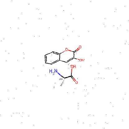 C[C@H](N)C(=O)O.O=c1oc2ccccc2cc1O